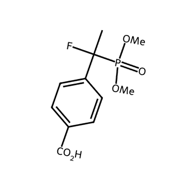 COP(=O)(OC)C(C)(F)c1ccc(C(=O)O)cc1